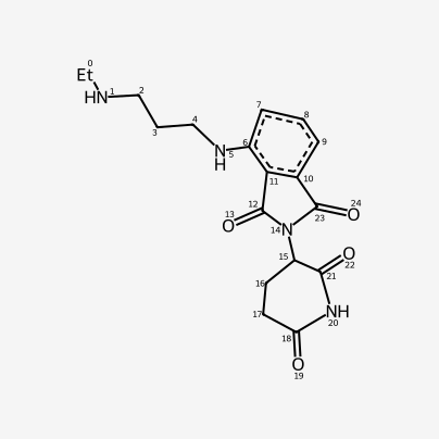 CCNCCCNc1cccc2c1C(=O)N(C1CCC(=O)NC1=O)C2=O